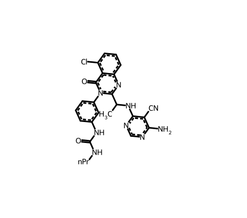 CCCNC(=O)Nc1cccc(-n2c(C(C)Nc3ncnc(N)c3C#N)nc3cccc(Cl)c3c2=O)c1